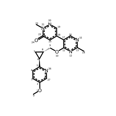 COc1ccc([C@H]2C[C@@H]2COc2nc(C)ncc2-c2cnn(C)c(=O)c2)nc1